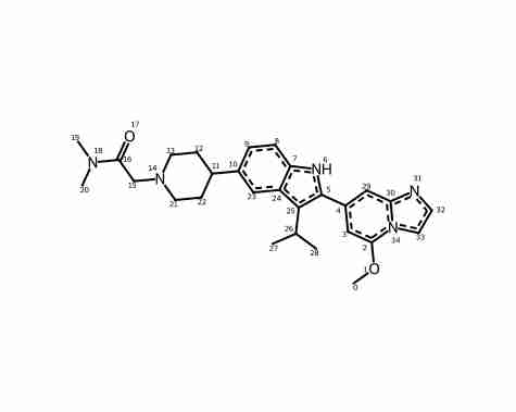 COc1cc(-c2[nH]c3ccc(C4CCN(CC(=O)N(C)C)CC4)cc3c2C(C)C)cc2nccn12